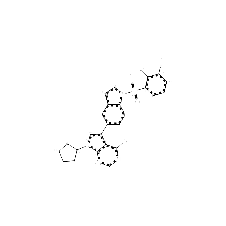 Nc1ncnc2c1c(-c1ccc3c(ccn3S(=O)(=O)c3cccc(Cl)c3Cl)c1)cn2C1CCCC1